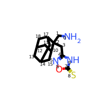 NCC1(Cc2noc(=S)[nH]2)C2CC3CC(C2)CC1C3